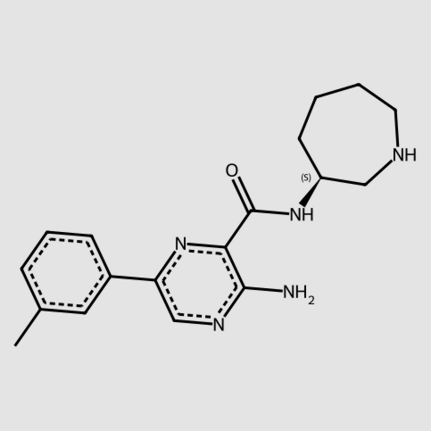 Cc1cccc(-c2cnc(N)c(C(=O)N[C@H]3CCCCNC3)n2)c1